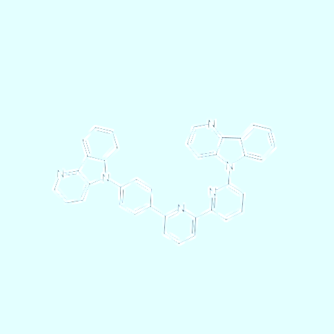 c1cc(-c2ccc(-n3c4ccccc4c4ncccc43)cc2)nc(-c2cccc(-n3c4ccccc4c4ncccc43)n2)c1